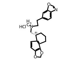 CN(CCc1ccc2ncoc2c1)C[C@@H]1CCCc2c1ccc1c2OCO1.Cl